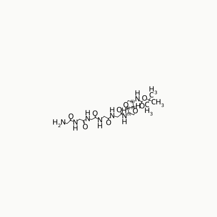 CC(C)(C)OC(=O)N[C@H]1CO[C@H]2[C@@H]1OC[C@@H]2NC(=O)CNC(=O)CNC(=O)CNC(=O)CNC(=O)CN